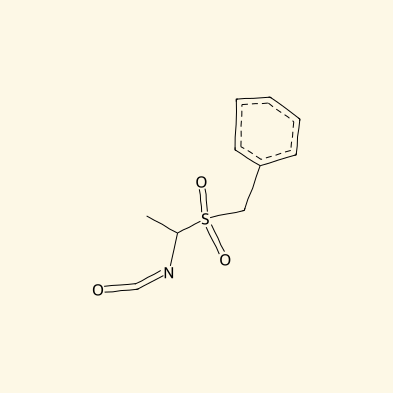 CC(N=C=O)S(=O)(=O)Cc1ccccc1